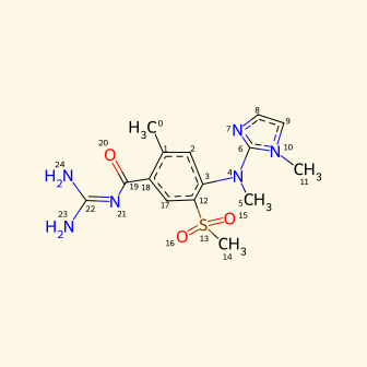 Cc1cc(N(C)c2nccn2C)c(S(C)(=O)=O)cc1C(=O)N=C(N)N